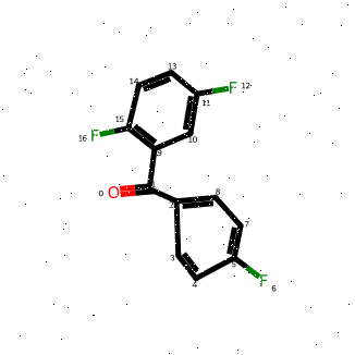 O=C(c1ccc(F)cc1)c1cc(F)ccc1F